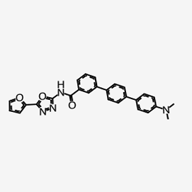 CN(C)c1ccc(-c2ccc(-c3cccc(C(=O)Nc4nnc(-c5ccco5)o4)c3)cc2)cc1